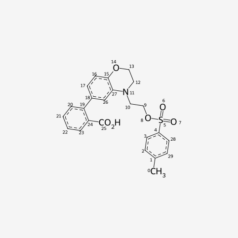 Cc1ccc(S(=O)(=O)OCCN2CCOc3ccc(-c4ccccc4C(=O)O)cc32)cc1